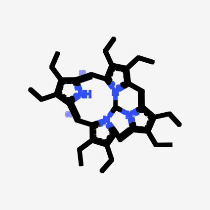 CCc1c(CC)c2n3c1C=c1c(CC)c(CC)c4n1C3n1c(c(CC)c(CC)c1/C=c1\[nH]/c(c(CC)c1CC)=C\2)C=4